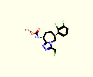 CC(C)(C)OC(=O)N[C@@H]1CC[C@@H](c2cccc(F)c2F)Cn2c(CF)nnc21